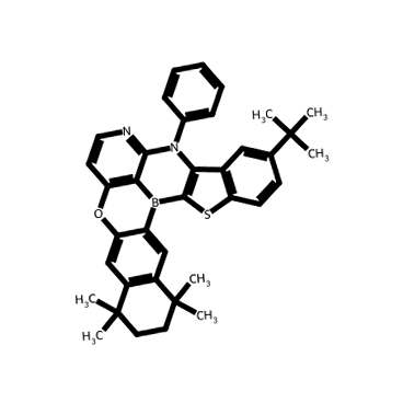 CC(C)(C)c1ccc2sc3c(c2c1)N(c1ccccc1)c1nccc2c1B3c1cc3c(cc1O2)C(C)(C)CCC3(C)C